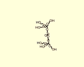 O=C(OCCOCC(COCO)(COCCO)COCCO)OCCOCC(COCCO)(COCCO)COCCO